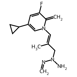 C=NN(N)C/C(C)=C/N1C=C(C2CC2)C=C(F)C1=C